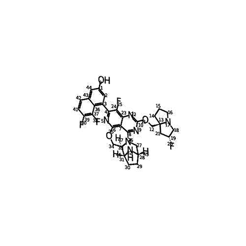 Oc1cc(-c2nc3c4c(nc(OC[C@@]56CCCN5C[C@H](F)C6)nc4c2F)N2C[C@@H]4CC[C@@H](N4)[C@H]2CO3)c2c(F)c(F)ccc2c1